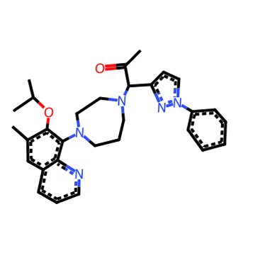 CC(=O)C(c1ccn(-c2ccccc2)n1)N1CCCN(c2c(OC(C)C)c(C)cc3cccnc23)CC1